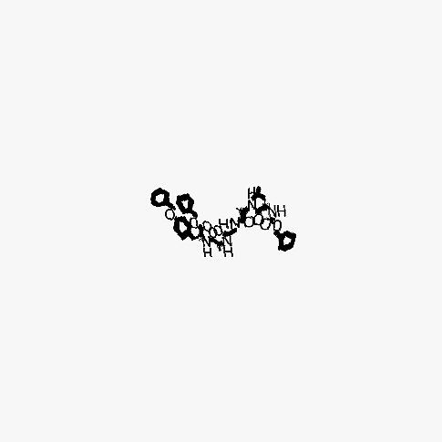 CC(C)C[C@H](NC(=O)OCc1ccccc1)C(=O)N[C@@H](C)C(=O)NCC(=O)N[C@@H](C)C(=O)N[C@@H](Cc1ccc(OCc2ccccc2)cc1)C(=O)OCc1ccccc1